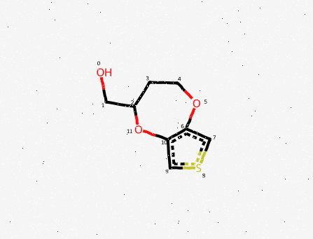 OCC1CCOc2cscc2O1